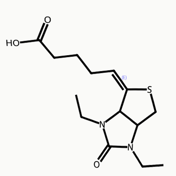 CCN1C(=O)N(CC)C2/C(=C\CCCC(=O)O)SCC21